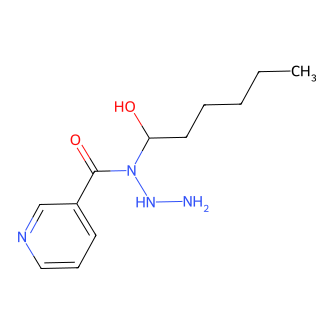 CCCCCC(O)N(NN)C(=O)c1cccnc1